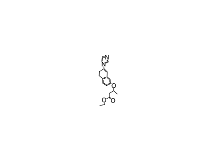 CCOC(=O)CC(C)Oc1ccc2c(c1)C=C(n1ccnc1)CC2